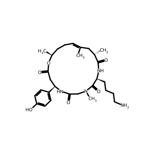 C/C1=C\CC[C@H](C)OC(=O)C[C@H](c2ccc(O)cc2)NC(=O)CN(C)C(=O)[C@H](CCCCN)NC(=O)[C@@H](C)C1